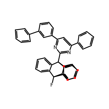 FC12c3ccccc3C(c3nc(-c4ccccc4)cc(-c4cccc(-c5ccccc5)c4)n3)(c3ccccc31)c1ccccc12